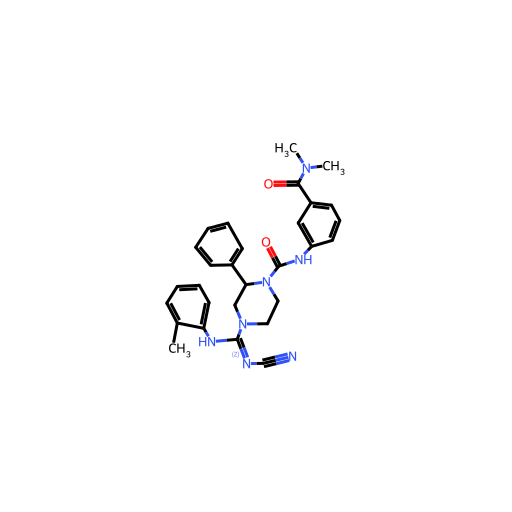 Cc1ccccc1N/C(=N/C#N)N1CCN(C(=O)Nc2cccc(C(=O)N(C)C)c2)C(c2ccccc2)C1